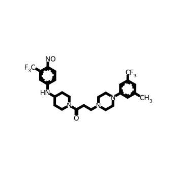 Cc1cc(N2CCN(CCC(=O)N3CCC(Nc4ccc(N=O)c(C(F)(F)F)c4)CC3)CC2)cc(C(F)(F)F)c1